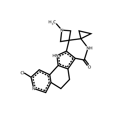 CN1CC2(C1)c1[nH]c3c(c1C(=O)NC21CC1)CCc1cnc(Cl)cc1-3